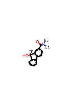 CCN(CC)C(=O)c1ccc2c(c1)C(O)(C(F)(F)F)c1ccccc1-2